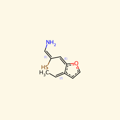 C/C=c1/cco/c1=C/C(S)=C\N